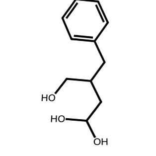 OCC(Cc1ccccc1)CC(O)O